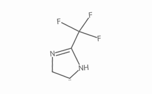 FC(F)(F)C1=NC[C]N1